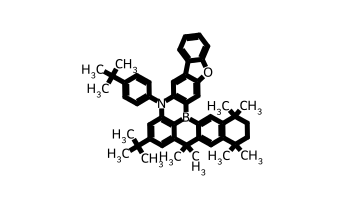 CC(C)(C)c1ccc(N2c3cc4c(cc3B3c5cc6c(cc5C(C)(C)c5cc(C(C)(C)C)cc2c53)C(C)(C)CCC6(C)C)oc2ccccc24)cc1